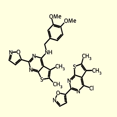 COc1ccc(CNc2nc(-c3ccno3)nc3sc(C)c(C)c23)cc1OC.Cc1sc2nc(-c3ccno3)nc(Cl)c2c1C